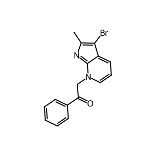 Cc1nc2n(CC(=O)c3ccccc3)cccc-2c1Br